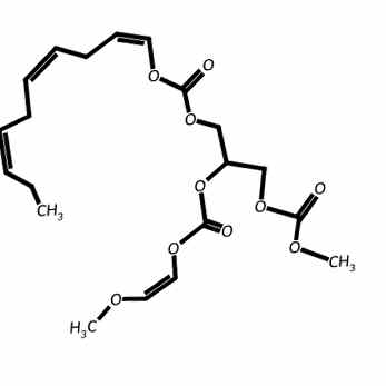 CC/C=C\C/C=C\C/C=C\OC(=O)OCC(COC(=O)OC)OC(=O)O/C=C\OC